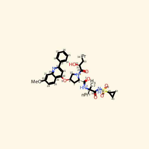 CCC[C@](C)(NC(=O)[C@@H]1C[C@@H](Oc2cc(-c3ccccc3)nc3cc(OC)ccc23)CN1C(=O)[C@@H](O)CC(C)C)C(=O)NS(=O)(=O)C1CC1